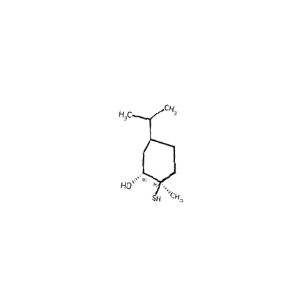 CC(C)C1CC[C@@](C)(S)[C@H](O)C1